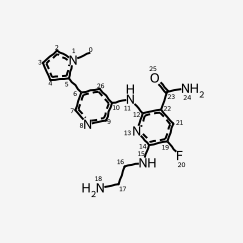 Cn1cccc1-c1cncc(Nc2nc(NCCN)c(F)cc2C(N)=O)c1